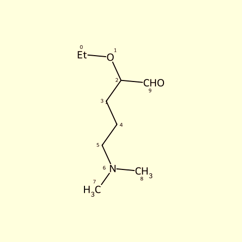 CCOC([CH]CCN(C)C)C=O